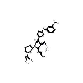 C=CC(=O)N1CCC[C@@H](N2N=C(c3ccc(Oc4cccc(OC)c4)cc3)/C(=C/C)C2CC=N)C1